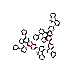 CC1(C)c2ccccc2-c2cccc(-c3ccc(N(c4ccc(-c5ccc6c(c5)c(-c5ccc(-c7ccc(N(c8ccc(-c9ccccc9)cc8)c8cccc(-c9ccccc9)c8-c8ccccc8-c8ccccc8)cc7)c7c5-c5ccccc5C7(C)C)cc5ccccc56)cc4)c4cccc(-c5ccccc5)c4-c4ccccc4-c4ccccc4)cc3)c21